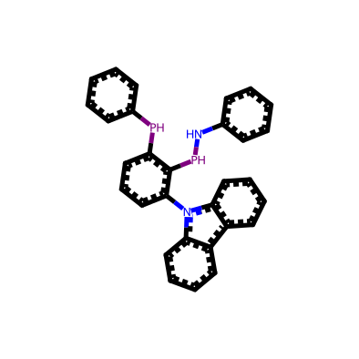 c1ccc(NPc2c(Pc3ccccc3)cccc2-n2c3ccccc3c3ccccc32)cc1